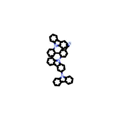 N#Cc1ccc(-n2c3ccccc3c3cc(-n4c5ccccc5c5ccccc54)ccc32)c(-c2ccccc2-n2c3ccccc3c3ccccc32)c1